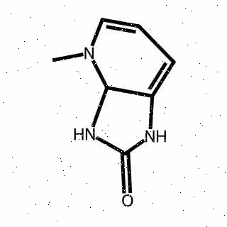 CN1C=CC=C2NC(=O)NC21